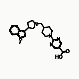 Cn1cc(C2CCN(CC3CCN(c4ncc(C(=O)O)cn4)CC3)C2)c2ccccc21